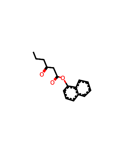 CCCC(=O)CC(=O)Oc1cccc2ccccc12